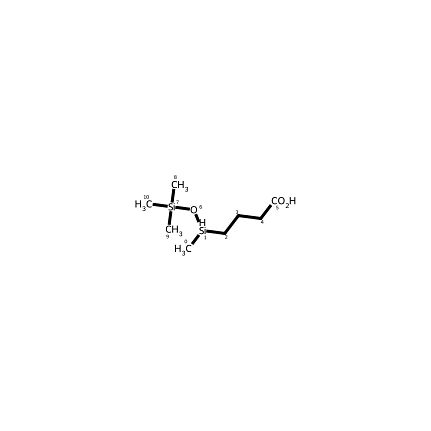 C[SiH](CCCC(=O)O)O[Si](C)(C)C